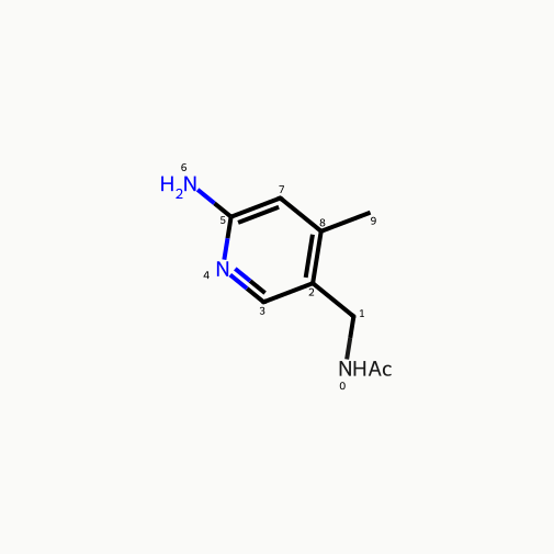 CC(=O)NCc1cnc(N)cc1C